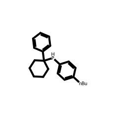 CCCCc1ccc(PC2(c3cc[c]cc3)CCCCC2)cc1